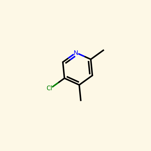 Cc1cc(C)c(Cl)cn1